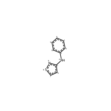 c1ccc(Nc2ccsn2)cc1